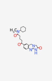 CN(C(=O)CCCC(=O)c1ccc2c(c1)CN1CC(=O)NC1=N2)C1CCCCC1